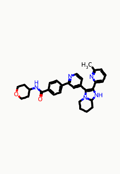 Cc1cccc(C2=C(c3ccnc(-c4ccc(C(=O)NC5CCOCC5)cc4)c3)N3CCCCC3N2)n1